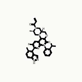 C=CC(=O)N1C[C@@H]2COc3c(c4cc(F)c(-c5c(C)ccc6[nH]ncc56)nc4n(-c4ccccc4C(C)C)c3=O)N2C[C@H]1C